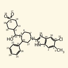 Cc1cc2[nH]c(N3CCN(C(O)C4CCS(=O)(=O)CC4)C(c4ccccc4)C3)nc2cc1Cl